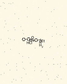 CCC1(N)CC1c1ccc(NC(=O)c2ccc(-c3ccccc3)cc2)cc1.Cl